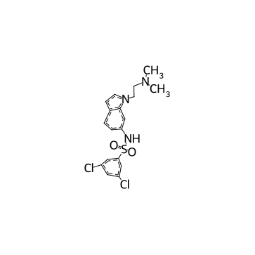 CN(C)CCn1ccc2ccc(NS(=O)(=O)c3cc(Cl)cc(Cl)c3)cc21